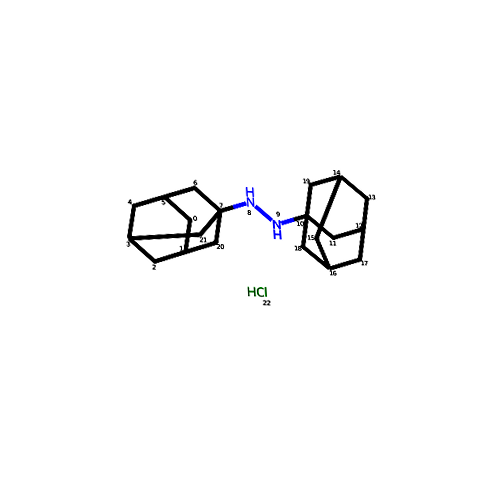 C1C2CC3CC1CC(NNC14CC5CC(CC(C5)C1)C4)(C2)C3.Cl